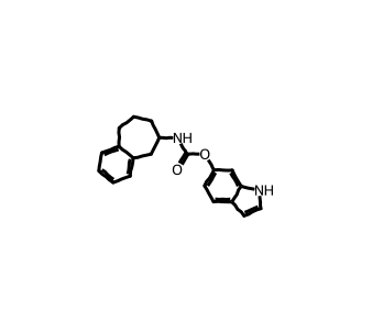 O=C(NC1CCCc2ccccc2C1)Oc1ccc2cc[nH]c2c1